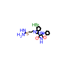 Br.N=C(N)SCCCn1cc(C2=C(Nc3ccccc3)C(=O)NC2=O)c2ccccc21